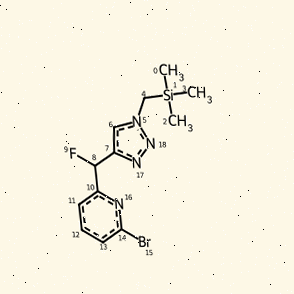 C[Si](C)(C)Cn1cc(C(F)c2cccc(Br)n2)nn1